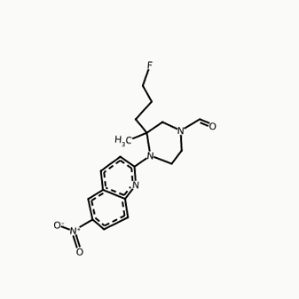 CC1(CCCF)CN(C=O)CCN1c1ccc2cc([N+](=O)[O-])ccc2n1